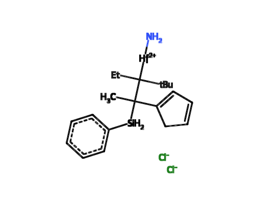 CC[C]([Hf+2][NH2])(C(C)(C)C)C(C)([SiH2]c1ccccc1)C1=CC=CC1.[Cl-].[Cl-]